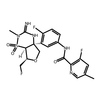 Cc1cnc(C(=O)Nc2ccc(F)c([C@]34CO[C@@H](CF)[C@H]3S(=O)(=O)N(C)C(=N)N4)c2)c(F)c1